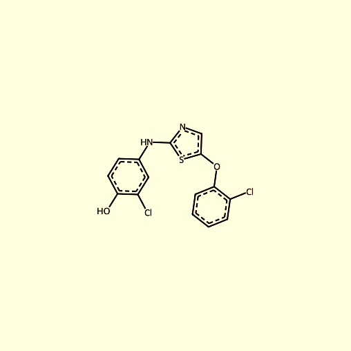 Oc1ccc(Nc2ncc(Oc3ccccc3Cl)s2)cc1Cl